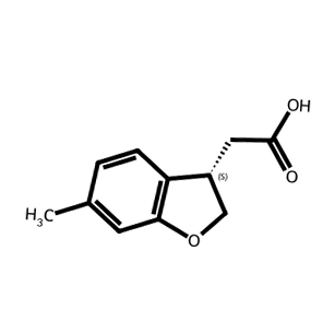 Cc1ccc2c(c1)OC[C@H]2CC(=O)O